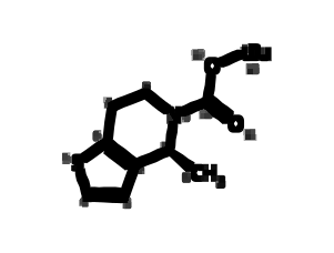 C[C@H]1c2ccsc2CCN1C(=O)OC(C)(C)C